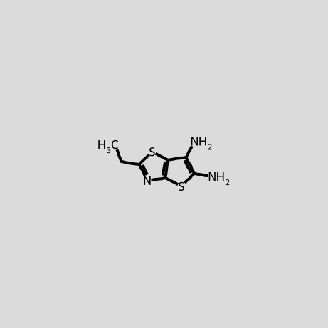 CCc1nc2sc(N)c(N)c2s1